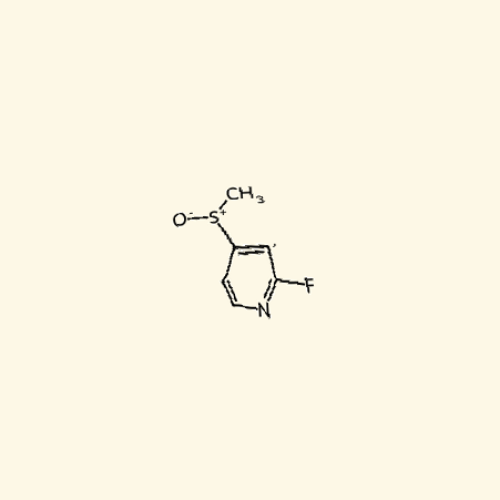 C[S+]([O-])c1[c]c(F)ncc1